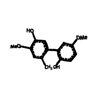 COc1ccc(O)c(-c2cc(O)c(OC)cc2C)c1